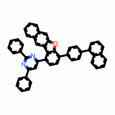 c1ccc(-c2cc(-c3ccc(-c4ccc(-c5cccc6ccccc56)cc4)c4oc5cc6ccccc6cc5c34)nc(-c3ccccc3)n2)cc1